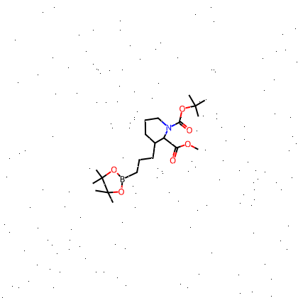 COC(=O)C1C(CCCB2OC(C)(C)C(C)(C)O2)CCCN1C(=O)OC(C)(C)C